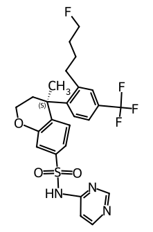 C[C@@]1(c2ccc(C(F)(F)F)cc2CCCCF)CCOc2cc(S(=O)(=O)Nc3ccncn3)ccc21